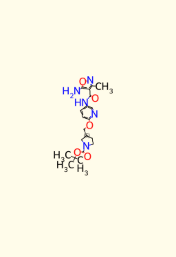 Cc1noc(N)c1C(=O)Nc1ccc(OC[C@H]2CCN(C(=O)OC(C)(C)C)C2)nc1